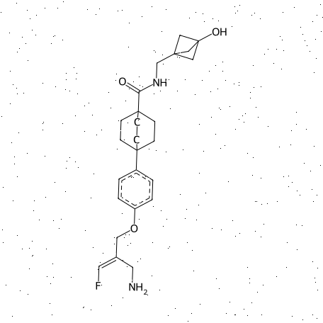 NC/C(=C\F)COc1ccc(C23CCC(C(=O)NCC45CC(O)(C4)C5)(CC2)CC3)cc1